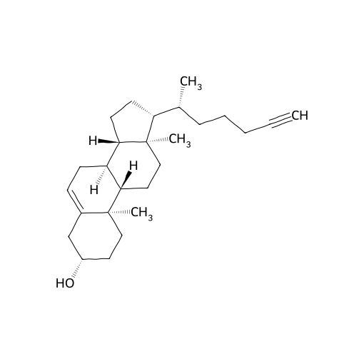 C#CCCC[C@@H](C)[C@H]1CC[C@H]2[C@@H]3CC=C4C[C@@H](O)CC[C@]4(C)[C@H]3CC[C@]12C